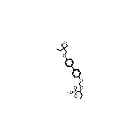 CCC(OCOc1ccc(-c2ccc(OCC3(CC)COC3)cc2)cc1)S(=O)(=O)O